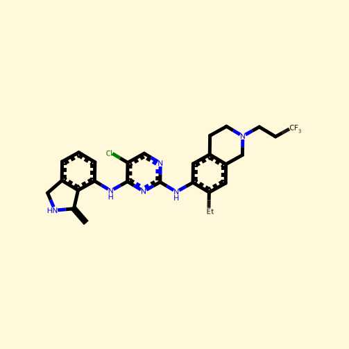 C=C1NCc2cccc(Nc3nc(Nc4cc5c(cc4CC)CN(CCC(F)(F)F)CC5)ncc3Cl)c21